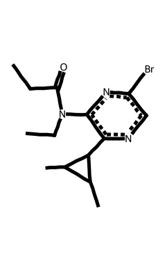 CCC(=O)N(CC)c1nc(Br)cnc1C1C(C)C1C